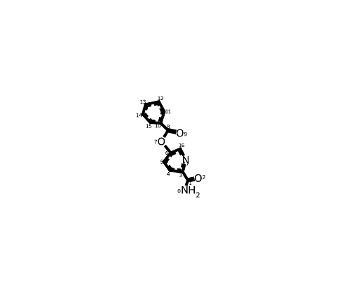 NC(=O)c1ccc(OC(=O)c2ccccc2)cn1